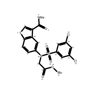 CNC(=O)c1csc2ccc(N(CC(=O)OC(C)(C)C)S(=O)(=O)c3cc(Cl)cc(Cl)c3)cc12